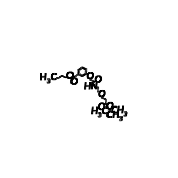 CCCCOC(=O)c1cccc(OCC(=O)NCCOCCC(=O)OC(C)(C)C)c1